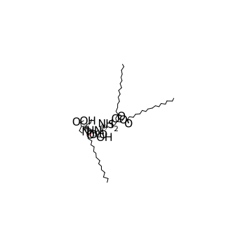 CCCCCCCCCCCCCCCC(=O)OCC(CSC[C@H](N)C(=O)N[C@@H](CO)C(=O)C[C@]1(CCC)C(C(=O)O)CCN1C(=O)CCCCCCCCCCCCCCC)OC(=O)CCCCCCCCCCCCCCC